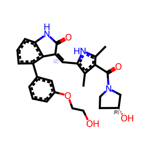 Cc1[nH]c(/C=C2\C(=O)Nc3cccc(-c4cccc(OCCO)c4)c32)c(C)c1C(=O)N1CC[C@@H](O)C1